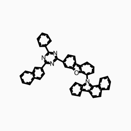 c1ccc(-c2nc(-c3ccc4ccccc4c3)nc(-c3ccc4c(c3)oc3c(-n5c6ccccc6c6ccc7ccccc7c65)cccc34)n2)cc1